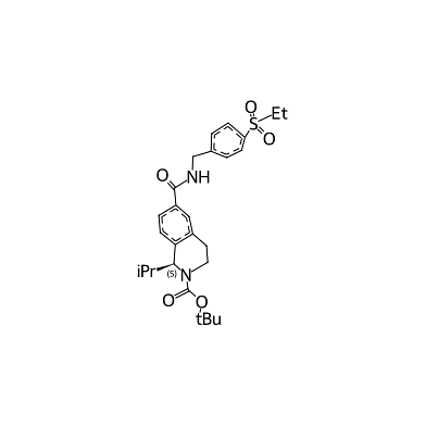 CCS(=O)(=O)c1ccc(CNC(=O)c2ccc3c(c2)CCN(C(=O)OC(C)(C)C)[C@H]3C(C)C)cc1